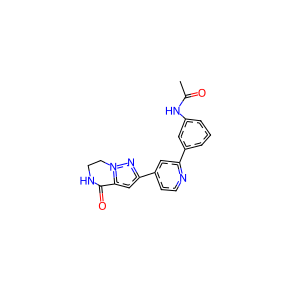 CC(=O)Nc1cccc(-c2cc(-c3cc4n(n3)CCNC4=O)ccn2)c1